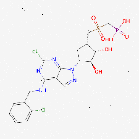 O=P(O)(O)CS(=O)(=O)C[C@H]1C[C@@H](n2ncc3c(NCc4ccccc4Cl)nc(Cl)nc32)[C@H](O)[C@H]1O